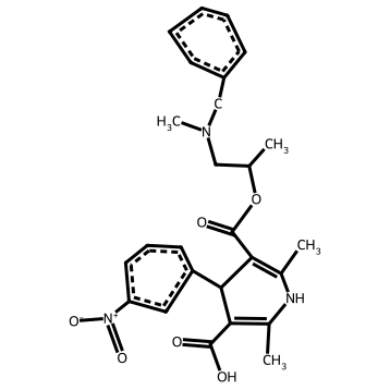 CC1=C(C(=O)O)C(c2cccc([N+](=O)[O-])c2)C(C(=O)OC(C)CN(C)Cc2ccccc2)=C(C)N1